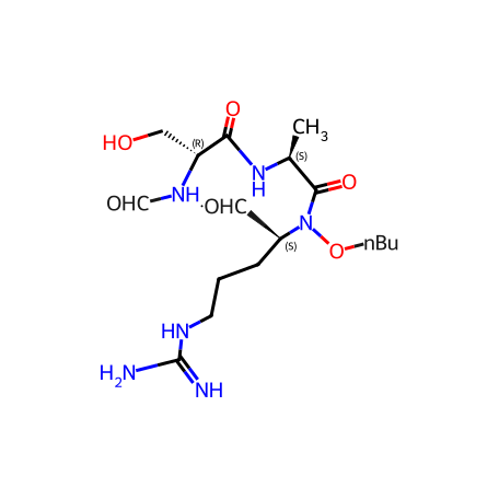 CCCCON(C(=O)[C@H](C)NC(=O)[C@@H](CO)NC=O)[C@H]([C]=O)CCCNC(=N)N